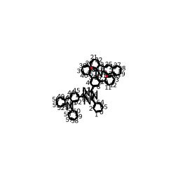 c1ccc(-c2nc(-c3cc(-c4ccccc4)c(-n4c5ccccc5c5cc6ccccc6cc54)c(-c4ccccc4)c3)nc(-c3ccc4c5ccccc5n(-c5ccccc5)c4c3)n2)cc1